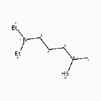 CCN(CC)CCCC(C)S